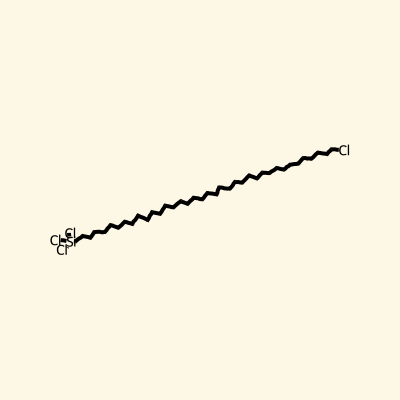 ClCCCCCCCCCCCCCCCCCCCCCCCCCCCCCCCCCCCCCC[Si](Cl)(Cl)Cl